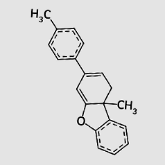 Cc1ccc(C2=CCC3(C)C(=C2)Oc2ccccc23)cc1